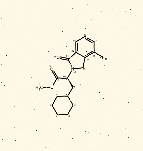 COC(=O)[C@H](CC1CCCCC1)N1Cc2c(F)cccc2C1=O